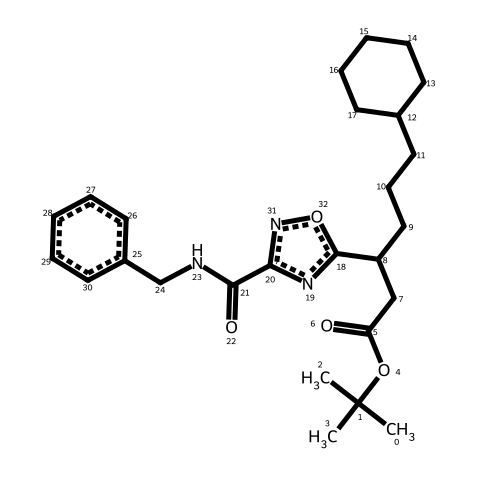 CC(C)(C)OC(=O)CC(CCCC1CCCCC1)c1nc(C(=O)NCc2ccccc2)no1